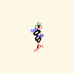 O=C(N[C@H]1CC=C(C2C=CC3=CC(OCC(O)CO)=CC[C@@H]3N2)CC1)C(F)(F)F